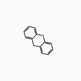 [c]1ccc2c(c1)Cc1ccccc1S2